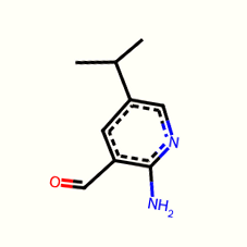 CC(C)c1cnc(N)c(C=O)c1